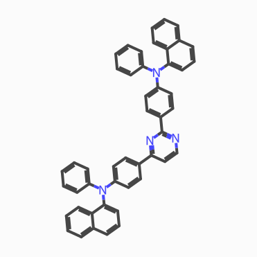 c1ccc(N(c2ccc(-c3ccnc(-c4ccc(N(c5ccccc5)c5cccc6ccccc56)cc4)n3)cc2)c2cccc3ccccc23)cc1